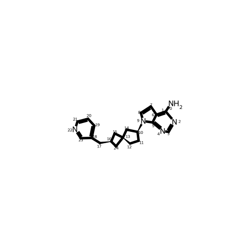 Nc1ncnc2c1ccn2[C@H]1CC[C@]2(C1)C[C@H](Cc1cccnc1)C2